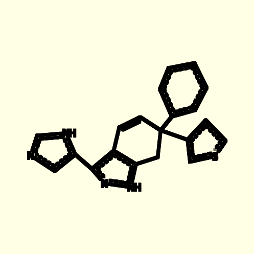 C1=CC(c2ccccc2)(c2ccsc2)Cc2[nH]nc(-c3cnc[nH]3)c21